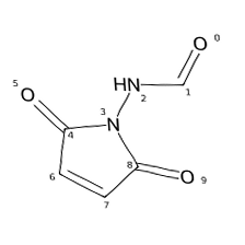 O=CNN1C(=O)C=CC1=O